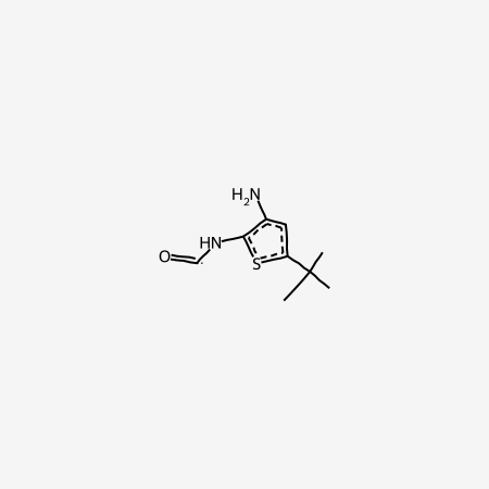 CC(C)(C)c1cc(N)c(N[C]=O)s1